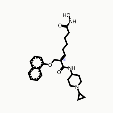 O=C(CCCC/C=C(\COc1cccc2ccccc12)C(=O)NC1CCN(C2CC2)CC1)NO